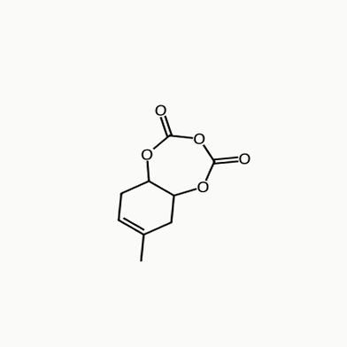 CC1=CCC2OC(=O)OC(=O)OC2C1